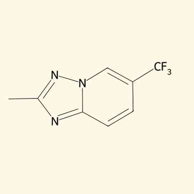 Cc1nc2ccc(C(F)(F)F)cn2n1